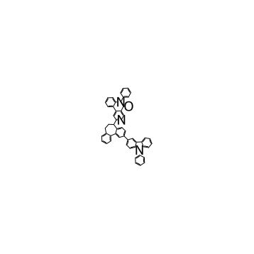 O=c1c2cnc(C3CCc4ccccc4-c4cc(-c5ccc6c(c5)c5ccccc5n6-c5ccccc5)ccc43)cc2c2ccccc2n1-c1ccccc1